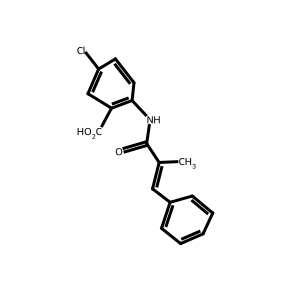 C/C(=C\c1ccccc1)C(=O)Nc1ccc(Cl)cc1C(=O)O